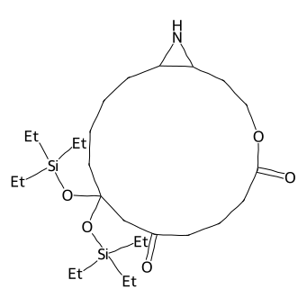 CC[Si](CC)(CC)OC1(O[Si](CC)(CC)CC)CCCCC2NC2CCOC(=O)CCCC(=O)C1